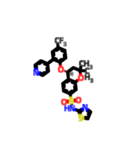 CC1(C)C[C@@H](Oc2ccc(C(F)(F)F)cc2-c2ccncc2)c2ccc(S(=O)(=O)Nc3nccs3)cc2O1